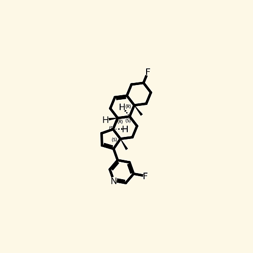 C[C@]12CCC(F)CC1=CC[C@@H]1[C@@H]2CC[C@]2(C)C(c3cncc(F)c3)=CC[C@@H]12